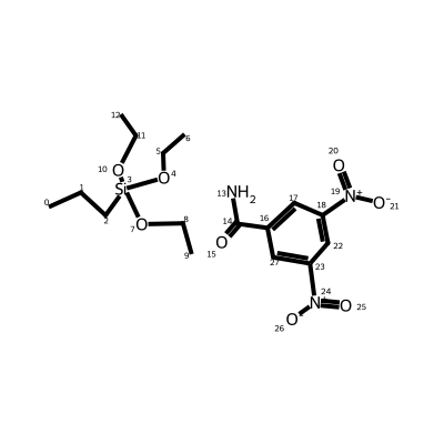 CCC[Si](OCC)(OCC)OCC.NC(=O)c1cc([N+](=O)[O-])cc([N+](=O)[O-])c1